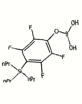 CCC[Si](CCC)(CCC)c1c(F)c(F)c(OB(O)O)c(F)c1F